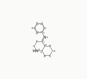 c1ccc(N=C2CCNC3CCCCC23)cc1